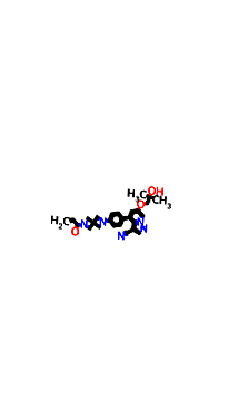 C=CC(=O)N1CC2(C1)CN(c1ccc(-c3cc(OCC(C)(C)O)cn4ncc(C#N)c34)cc1)C2